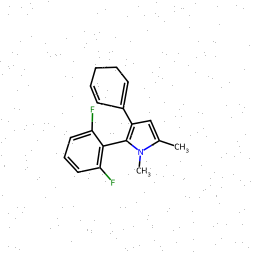 Cc1cc(C2=CCCC=C2)c(-c2c(F)cccc2F)n1C